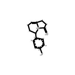 O=C1CCC2=CCCC(c3ccc(F)cc3)N12